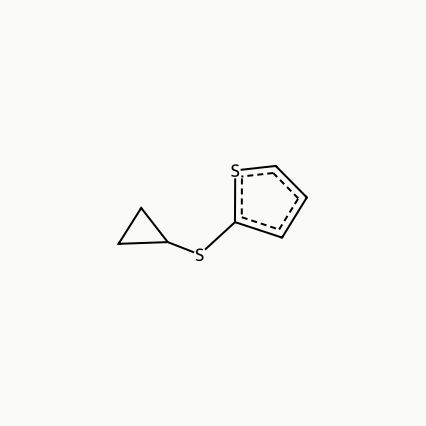 c1csc(SC2CC2)c1